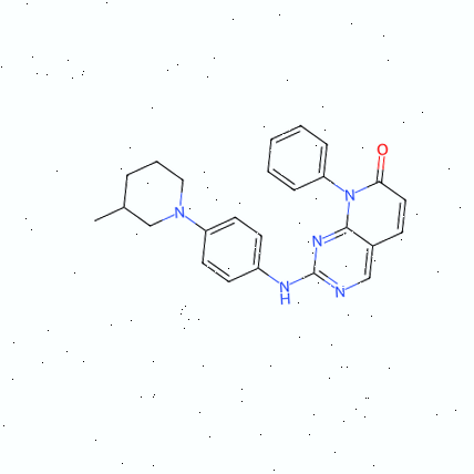 CC1CCCN(c2ccc(Nc3ncc4ccc(=O)n(-c5ccccc5)c4n3)cc2)C1